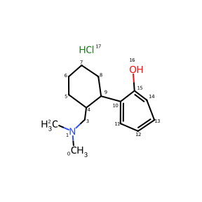 CN(C)CC1CCCCC1c1ccccc1O.Cl